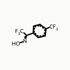 ON=C(c1ccc(C(F)(F)F)cc1)C(F)(F)F